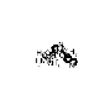 CC(=NN(C)C(N)=O)c1ccc2nnc(C(C)(C)c3ccc4ncccc4c3)n2n1